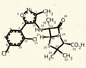 Cc1noc(-c2ccc(Cl)cc2Cl)c1N[C@@]1(C)C(=O)N2[C@@H](C(=O)O)C(C)(C)S[C@@H]21